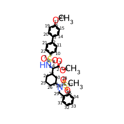 COC(=O)C(NS(=O)(=O)c1ccc(-c2ccc(OC)cc2)cc1)C1CCCC(N(Cc2ccccc2)S(C)(=O)=O)C1